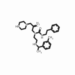 C=C(CN1CCNCC1)CN(CCNC(C)c1cccc(C)c1)C(=O)NCCc1ccccc1